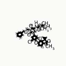 CN1C(=O)C2(CC2)c2cc(Oc3c(Cl)cc(-n4nc(NC(=O)OC(C)(C)C)c(=O)n(COCc5ccccc5)c4=O)cc3Cl)ccc21